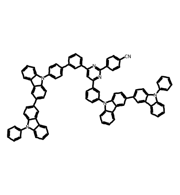 N#Cc1ccc(-c2nc(-c3cccc(-c4ccc(-n5c6ccccc6c6cc(-c7ccc8c(c7)c7ccccc7n8-c7ccccc7)ccc65)cc4)c3)cc(-c3cccc(-n4c5ccccc5c5cc(-c6ccc7c(c6)c6ccccc6n7-c6ccccc6)ccc54)c3)n2)cc1